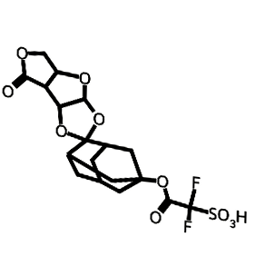 O=C1OCC2OC3OC4(OC3C12)C1CC2CC4CC(OC(=O)C(F)(F)S(=O)(=O)O)(C2)C1